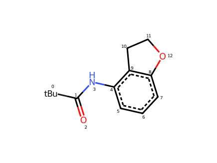 CC(C)(C)C(=O)Nc1cccc2c1CCO2